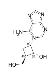 Nc1c2ncnc-2ncn1[C@H]1C[C@H](CO)[C@H]1O